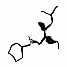 C=C(CC(C)C)/C(=C/C)CNC1CCCC1